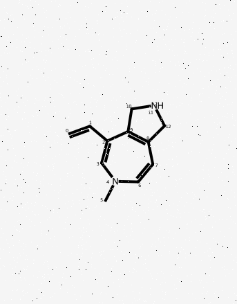 C=CC1=CN(C)C=CC2=C1CNC2